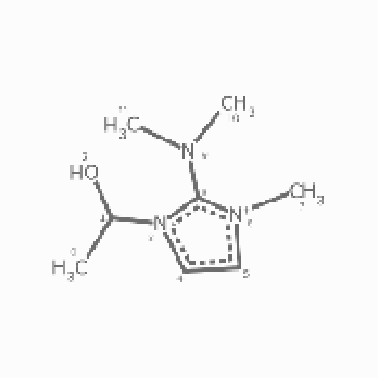 CC(O)n1cc[n+](C)c1N(C)C